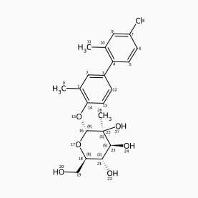 Cc1cc(-c2ccc(Cl)cc2C)ccc1O[C@H]1O[C@H](CO)[C@@H](O)[C@H](O)[C@]1(C)O